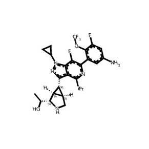 CC(C)c1nc(-c2cc(N)cc(F)c2OC(F)(F)F)c(F)c2c1c([C@@H]1[C@H]3CN[C@H](C(C)O)[C@H]31)nn2C1CC1